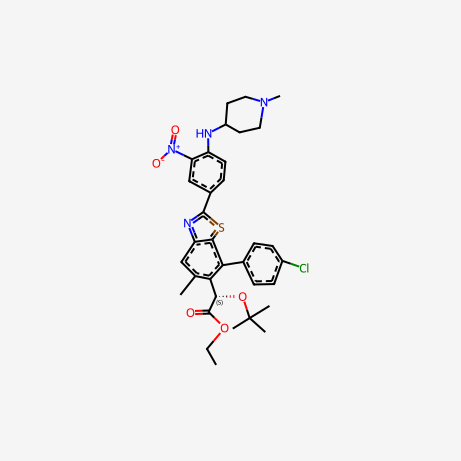 CCOC(=O)[C@@H](OC(C)(C)C)c1c(C)cc2nc(-c3ccc(NC4CCN(C)CC4)c([N+](=O)[O-])c3)sc2c1-c1ccc(Cl)cc1